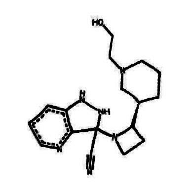 N#CC1(N2CCC2[C@@H]2CCCN(CCO)C2)NNc2cccnc21